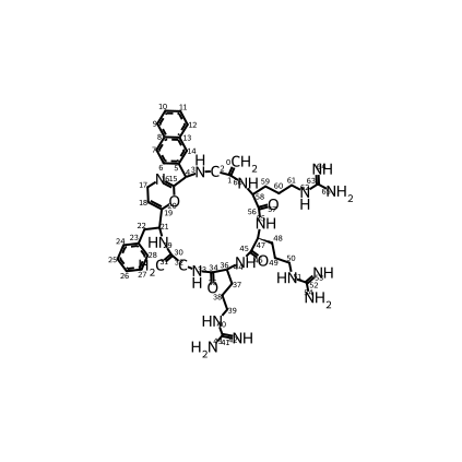 C=C1CNC(c2ccc3ccccc3c2)C2=NCC=C(O2)C(Cc2ccccc2)NC(=C)CNC(=O)C(CCCNC(=N)N)NC(=O)[C@H](CCCNC(=N)N)NC(=O)C(CCCNC(=N)N)N1